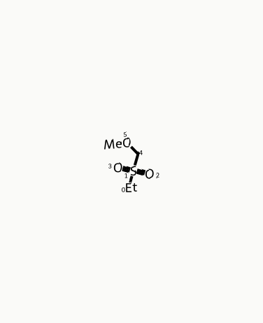 CCS(=O)(=O)COC